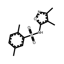 Cc1ccc(C)c(S(=O)(=O)Nc2onc(C)c2C)c1